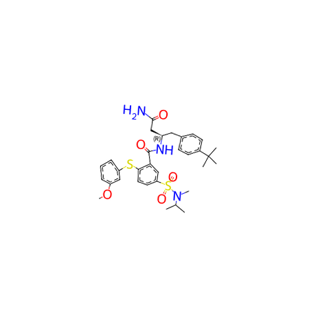 COc1cccc(Sc2ccc(S(=O)(=O)N(C)C(C)C)cc2C(=O)N[C@@H](CC(N)=O)Cc2ccc(C(C)(C)C)cc2)c1